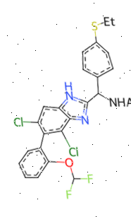 CCSc1ccc(C(NC(C)=O)c2nc3c(Cl)c(-c4ccccc4OC(F)F)c(Cl)cc3[nH]2)cc1